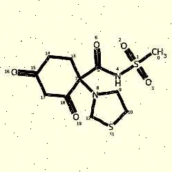 CS(=O)(=O)NC(=O)C1(N2CCSC2)CCC(=O)CC1=O